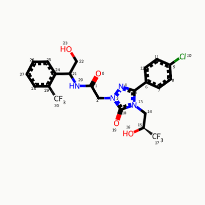 O=C(Cn1nc(-c2ccc(Cl)cc2)n(C[C@H](O)C(F)(F)F)c1=O)NC(CO)c1ccccc1C(F)(F)F